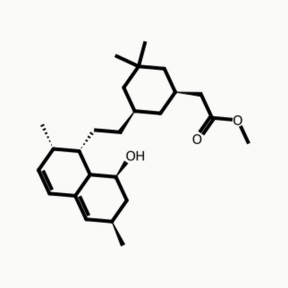 COC(=O)C[C@H]1C[C@@H](CC[C@@H]2C3C(=C[C@H](C)C[C@@H]3O)C=C[C@@H]2C)CC(C)(C)C1